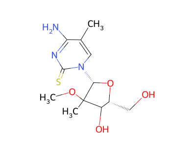 COC1(C)C(O)[C@@H](CO)O[C@H]1n1cc(C)c(N)nc1=S